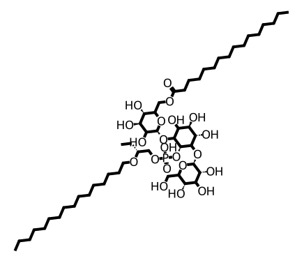 CCCCCCCCCCCCCCCCO[C@H](CC)COP(=O)(O)O[C@@H]1C(O[C@H]2OC(COC(=O)CCCCCCCCCCCCCCC)[C@@H](O)[C@H](O)C2O)C(O)[C@@H](O)[C@H](O)C1O[C@H]1OC(CO)[C@@H](O)C(O)[C@H]1O